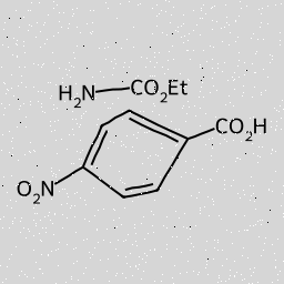 CCOC(N)=O.O=C(O)c1ccc([N+](=O)[O-])cc1